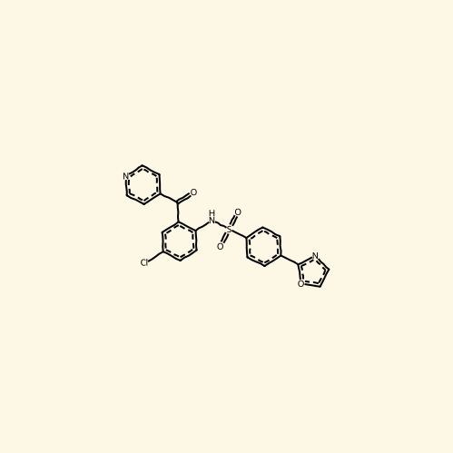 O=C(c1ccncc1)c1cc(Cl)ccc1NS(=O)(=O)c1ccc(-c2ncco2)cc1